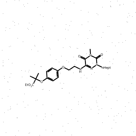 CCCCCCCn1nc(NCCOc2ccc(OC(C)(C)C(=O)OCC)cc2)c(=O)n(C)c1=O